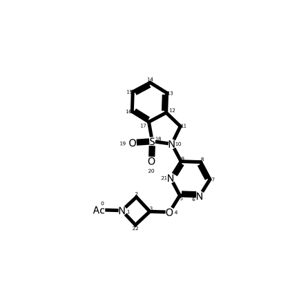 CC(=O)N1CC(Oc2nccc(N3Cc4ccccc4S3(=O)=O)n2)C1